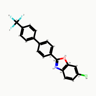 FC(F)(F)c1ccc(-c2ccc(-c3nc4ccc(Cl)cc4o3)cc2)cc1